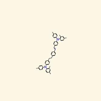 Cc1ccc(N(c2ccc(/C=C/c3ccc(CCc4ccc(N(c5ccc(C)cc5)c5ccc(C)cc5C)cc4)cc3)cc2)c2ccc(C)cc2C)cc1